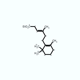 CCOC(=O)CC=C(C)CCC1=C(C)CCCC1(C)C